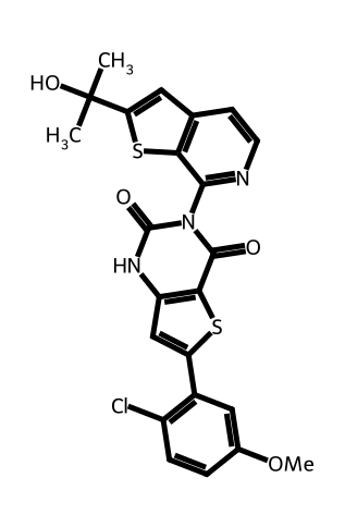 COc1ccc(Cl)c(-c2cc3[nH]c(=O)n(-c4nccc5cc(C(C)(C)O)sc45)c(=O)c3s2)c1